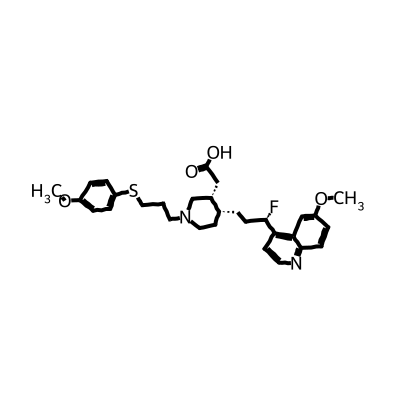 COc1ccc(SCCCN2CC[C@@H](CC[C@H](F)c3ccnc4ccc(OC)cc34)[C@@H](CC(=O)O)C2)cc1